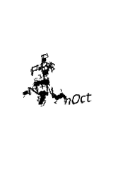 CCCCCCCCCCn1cc[n+](C)c1C.F[B-](F)(F)F